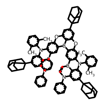 Cc1cccc(C)c1N1c2cc3c(cc2B2c4ccccc4N(c4ccccc4)c4cc(C56CC7CC(CC(C7)C5)C6)cc1c42)B1c2cc4c(cc2Oc2cc(C56CC7CC(CC(C7)C5)C6)cc(c21)O3)N(c1c(C)cccc1C)c1cc(C23CC5CC(CC(C5)C2)C3)cc2c1B4c1ccccc1N2c1ccccc1